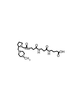 CN1CCN(CC2CCCN2CC(=O)NCCC(=O)NCCC(=O)NCCCC(=O)O)CC1